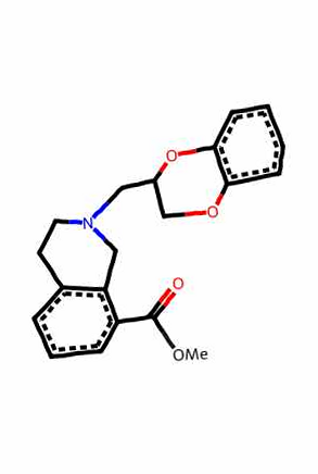 COC(=O)c1cccc2c1CN(CC1COc3ccccc3O1)CC2